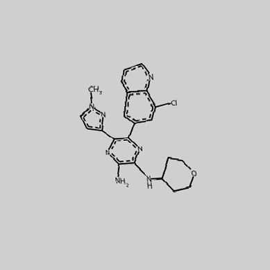 Cn1ccc(-c2nc(N)c(NC3CCOCC3)nc2-c2cc(Cl)c3ncccc3c2)n1